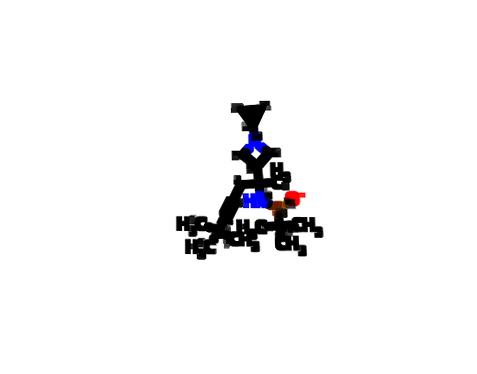 CC(CC#C[Si](C)(C)C)(N[S+]([O-])C(C)(C)C)C1CN(C2=CC2)C1